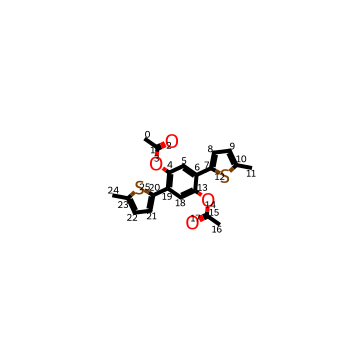 CC(=O)Oc1cc(-c2ccc(C)s2)c(OC(C)=O)cc1-c1ccc(C)s1